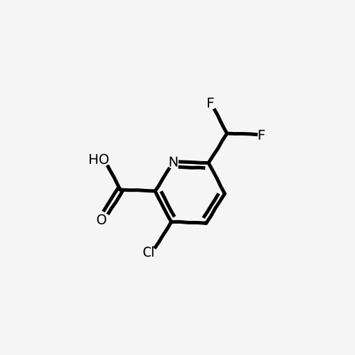 O=C(O)c1nc(C(F)F)ccc1Cl